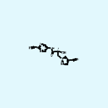 C[C@](O)(Cn1cc(C#N)cn1)C(=O)Nc1cnc(C#N)nc1